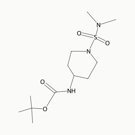 CN(C)S(=O)(=O)N1CCC(NC(=O)OC(C)(C)C)CC1